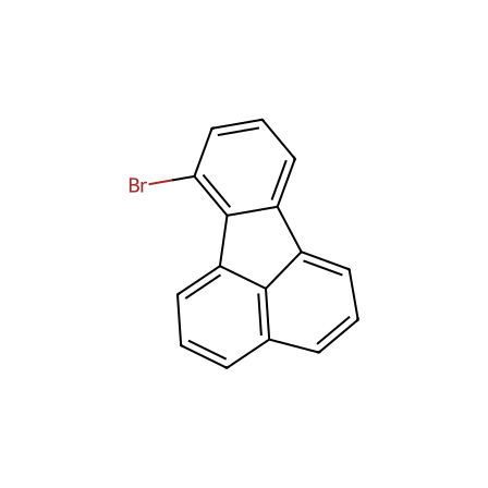 Brc1cccc2c1-c1cccc3cccc-2c13